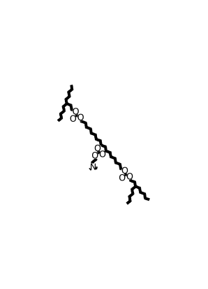 CCCCCC(CCCCC)CCOC(=O)OCCCCCCCCC(CCCCCCCCOC(=O)OCCC(CCCCC)CCCCC)OC(=O)OCCN(C)C